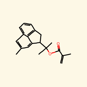 C=C(C)C(=O)OC(C)(C)C1Cc2cccc3cc(C)cc1c23